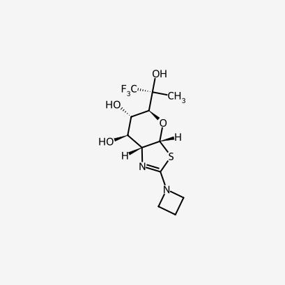 C[C@](O)([C@H]1O[C@@H]2SC(N3CCC3)=N[C@@H]2[C@@H](O)[C@@H]1O)C(F)(F)F